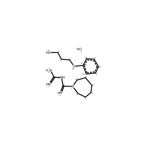 Cl.N=C(N)NC(=N)N1CCCCCC1.OCCCOc1ccccc1